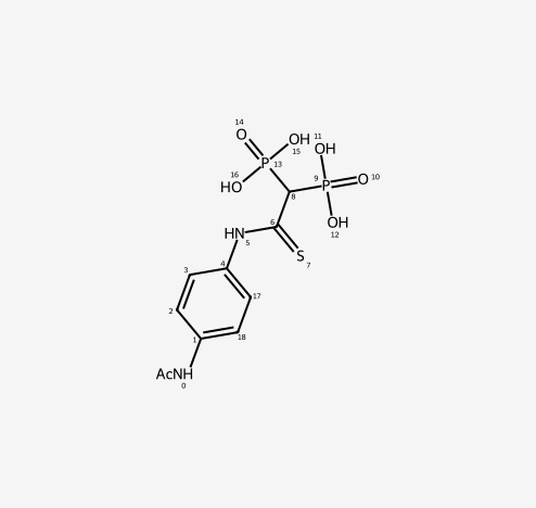 CC(=O)Nc1ccc(NC(=S)C(P(=O)(O)O)P(=O)(O)O)cc1